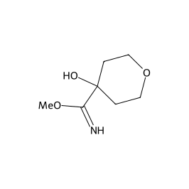 COC(=N)C1(O)CCOCC1